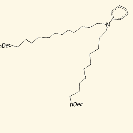 CCCCCCCCCCCCCCCCCCCCCCN(CCCCCCCCCCCCCCCCCCCC)c1ccccc1